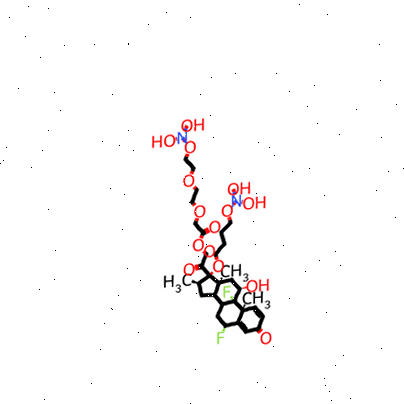 C[C@@H]1CC2C3C[C@H](F)C4=CC(=O)C=C[C@]4(C)[C@@]3(F)[C@@H](O)C[C@]2(C)[C@@]1(OC(=O)CCCON(O)O)C(=O)COC(=O)COCCOCCON(O)O